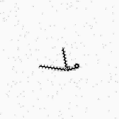 CCCCCCCCCCCCCCCCCn1cc(CCCc2ccccc2)nc1CCCCCCCCCCCC